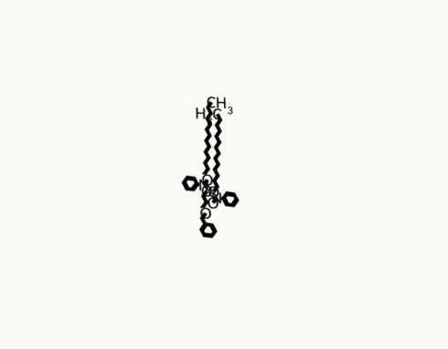 CCCCCCCCCCCCCCON(OCC(COCc1ccccc1)ON(OCCCCCCCCCCCCCC)c1ccccc1)c1ccccc1